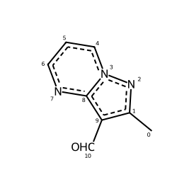 Cc1nn2cccnc2c1C=O